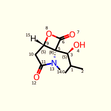 CC(C)[C@H](O)[C@]12C(=O)O[C@H]1CC(=O)N2C